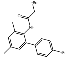 Cc1cc(C)c(NC(=O)CC(C)(C)C)c(-c2ccc(C(C)C)cc2)c1